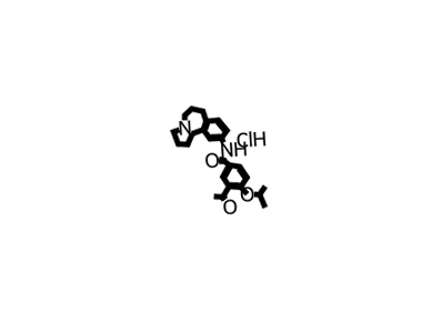 CC(=O)c1cc(C(=O)Nc2ccc3c(c2)C2CCCN2CCC3)ccc1OC(C)C.Cl